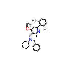 CCc1cccc(CC)c1-c1cc(OC(C)C)c(CN(Cc2ccccc2)C2CCCCC2)c(C)n1